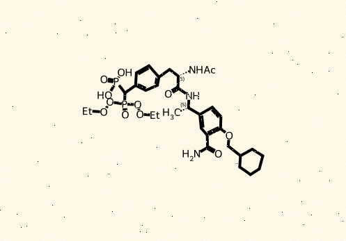 CCOOP(=O)(OOCC)C(c1ccc(C[C@H](NC(C)=O)C(=O)N[C@@H](C)c2ccc(OCC3CCCCC3)c(C(N)=O)c2)cc1)P(=O)(O)O